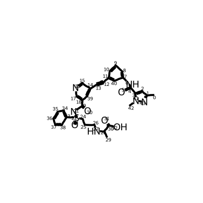 Cc1cc(C(=O)Nc2cccc(C#Cc3cncc(C(=O)N=S(=O)(CCCNC(C)C(=O)O)c4ccccc4)c3)c2)n(C)n1